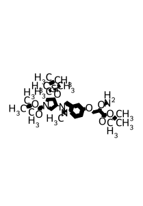 C[n+]1c2ccc(OCC(ON)C(=O)OC(C)(C)C)cc2cn1[C@@H]1CN(C(=O)OC(C)(C)C)C[C@@H]1O[Si](C)(C)C(C)(C)C